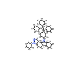 c1ccc(-n2ncc3c2ccc2c4ccccc4n(-c4ccc([Si](c5ccccc5)(c5ccccc5)c5ccccc5)cc4)c23)cc1